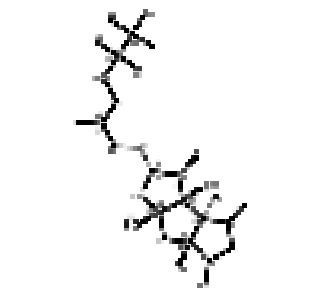 CC1CC(C)[C@]2(C)[C@H]3[C@H](C)[C@@H](CC[C@@H](C)CO[Si](C)(C)C(C)(C)C)O[C@@]3(O)C[C@@]12C